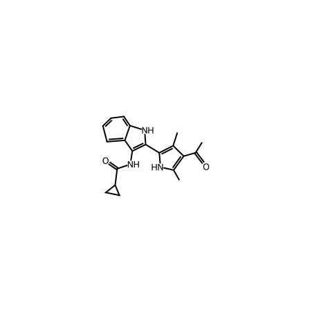 CC(=O)c1c(C)[nH]c(-c2[nH]c3ccccc3c2NC(=O)C2CC2)c1C